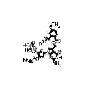 COc1ccc(C(=O)OCc2cn([C@H]3CC(OCN=[N+]=[N-])[C@@H](COP(=O)(O)O)O3)c3nc(N)[nH]c(=O)c23)c(CN=[N+]=[N-])c1